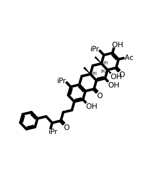 CC(=O)C1=C(O)C(C(C)C)[C@@]2(C)C[C@@]3(C)Cc4c(C(C)C)cc(CCC(=O)C(Cc5ccccc5)C(C)C)c(O)c4C(=O)C3=C(O)[C@@]2(O)C1=O